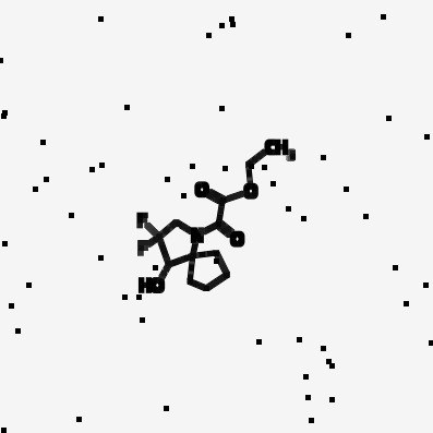 CCOC(=O)C(=O)N1CC(F)(F)C(O)C12CCCC2